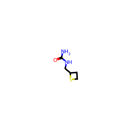 NC(=O)NCC1CCS1